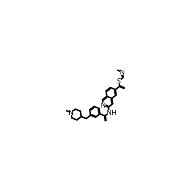 C=C(Nc1cc2cc(C(=C)S/C=N\C)ccc2cn1)c1cccc(CC2CCN(C)CC2)c1